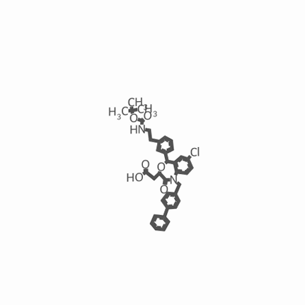 CC(C)(C)OC(=O)NCCc1cccc(C2OC(CC(=O)O)C(=O)N(Cc3ccc(-c4ccccc4)cc3)c3ccc(Cl)cc32)c1